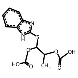 CC(OC(=O)O)C(OC(=O)O)Sc1nc2ccccc2[nH]1